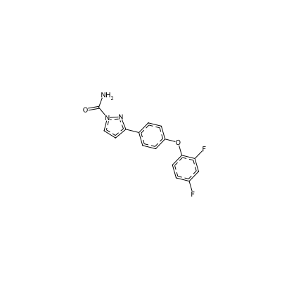 NC(=O)n1ccc(-c2ccc(Oc3ccc(F)cc3F)cc2)n1